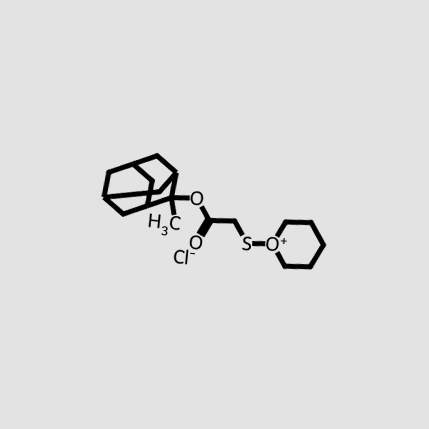 CC1(OC(=O)CS[O+]2CCCCC2)C2CC3CC(C2)CC1C3.[Cl-]